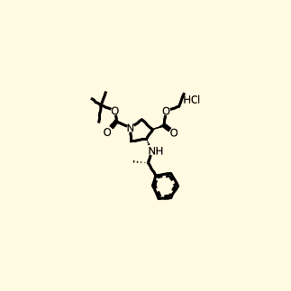 CCOC(=O)[C@@H]1CN(C(=O)OC(C)(C)C)C[C@H]1N[C@@H](C)c1ccccc1.Cl